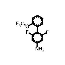 Nc1cc(F)c(-c2ccccc2OC(F)(F)F)c(F)c1